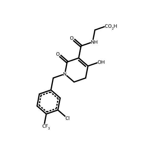 O=C(O)CNC(=O)C1=C(O)CCN(Cc2ccc(C(F)(F)F)c(Cl)c2)C1=O